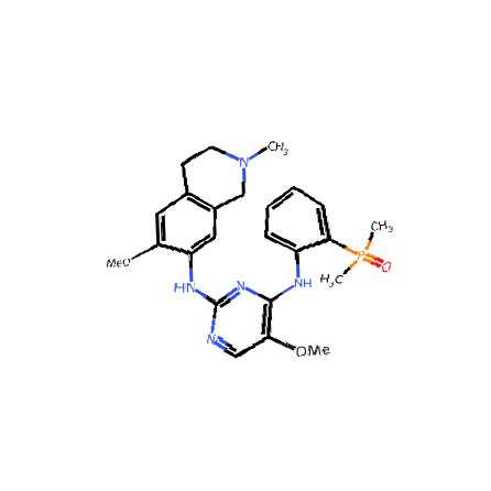 COc1cc2c(cc1Nc1ncc(OC)c(Nc3ccccc3P(C)(C)=O)n1)CN(C)CC2